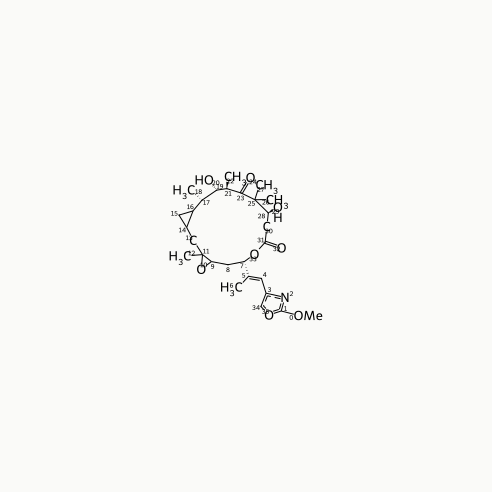 COc1nc(/C=C(\C)[C@@H]2CC3OC3(C)CC3CC3[C@H](C)[C@H](O)[C@@H](C)C(=O)C(C)(C)[C@@H](O)CC(=O)O2)co1